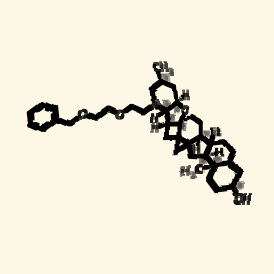 CCC12CCC3=C[C@@H](O)CC[C@]3(C)[C@H]1CC13CC14C[C@@H]1[C@H]5[C@@H](C[C@H](C)CN5CCOCCOCc5ccccc5)O[C@]14CC[C@@H]23